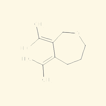 CC(C)=C1CCCOCC1=C(C)C